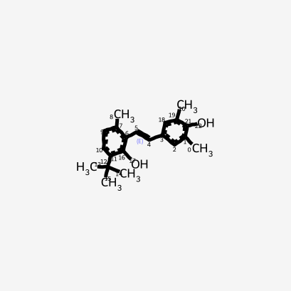 Cc1cc(/C=C/c2c(C)ccc(C(C)(C)C)c2O)cc(C)c1O